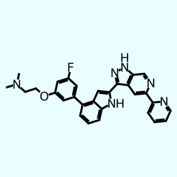 CN(C)CCOc1cc(F)cc(-c2cccc3[nH]c(-c4n[nH]c5cnc(-c6ccccn6)cc45)cc23)c1